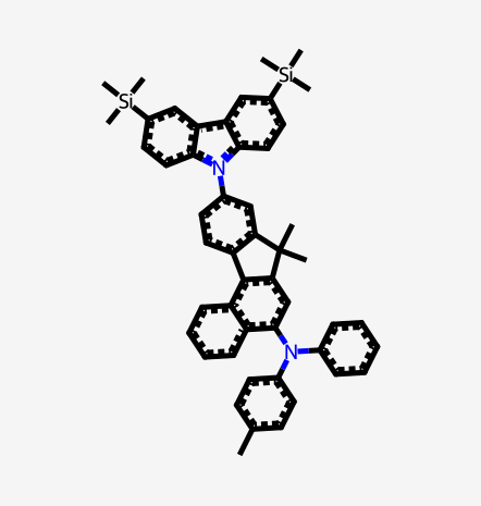 Cc1ccc(N(c2ccccc2)c2cc3c(c4ccccc24)-c2ccc(-n4c5ccc([Si](C)(C)C)cc5c5cc([Si](C)(C)C)ccc54)cc2C3(C)C)cc1